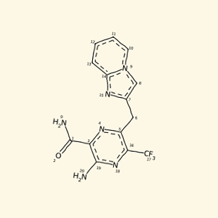 NC(=O)c1nc(Cc2cn3ccccc3n2)c(C(F)(F)F)nc1N